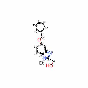 CCn1c(CO)nc2cc(OCc3ccccc3)ccc21